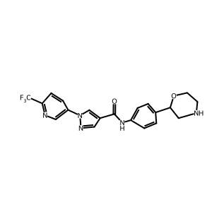 O=C(Nc1ccc(C2CNCCO2)cc1)c1cnn(-c2ccc(C(F)(F)F)nc2)c1